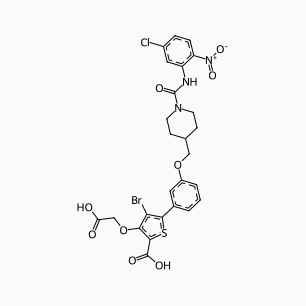 O=C(O)COc1c(C(=O)O)sc(-c2cccc(OCC3CCN(C(=O)Nc4cc(Cl)ccc4[N+](=O)[O-])CC3)c2)c1Br